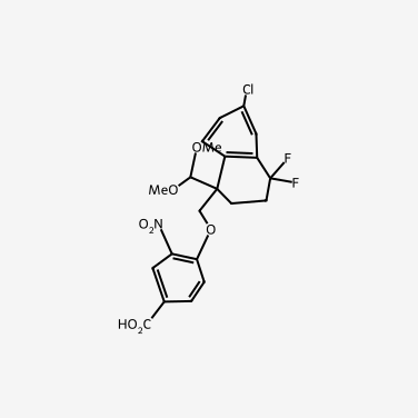 COC(OC)C1(COc2ccc(C(=O)O)cc2[N+](=O)[O-])CCC(F)(F)c2cc(Cl)ccc21